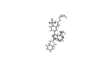 CCCCOc1cc(-c2nn(C3Cc4ccccc4C3)c3ncnc(N)c23)ccc1C(F)(F)F